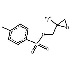 Cc1ccc(S(=O)(=O)OCC2(C(F)(F)F)CO2)cc1